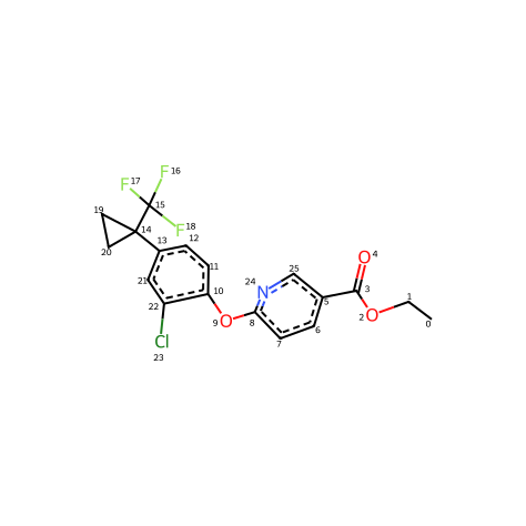 CCOC(=O)c1ccc(Oc2ccc(C3(C(F)(F)F)CC3)cc2Cl)nc1